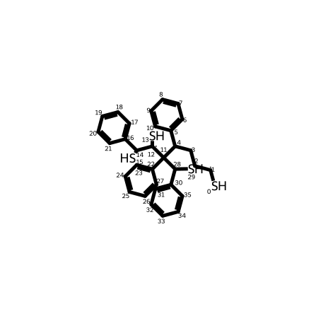 S[CH]CCC(c1ccccc1)C([C](S)C(S)c1ccccc1)(c1ccccc1)C(S)c1ccccc1